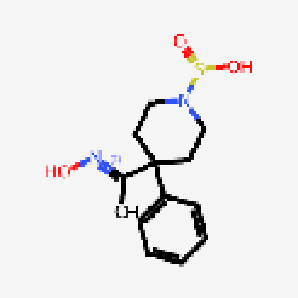 C/C(=N\O)C1(c2ccccc2)CCN(S(=O)O)CC1